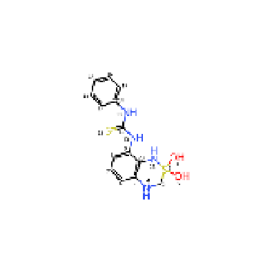 OS1(O)CNc2cccc(NC(=S)Nc3ccccc3)c2N1